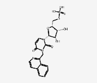 O=c1ccn([C@@H]2O[C@H](COP(=O)(O)O)[C@H](O)[C@@H]2O)c(=O)n1Cc1nccc2ccccc12